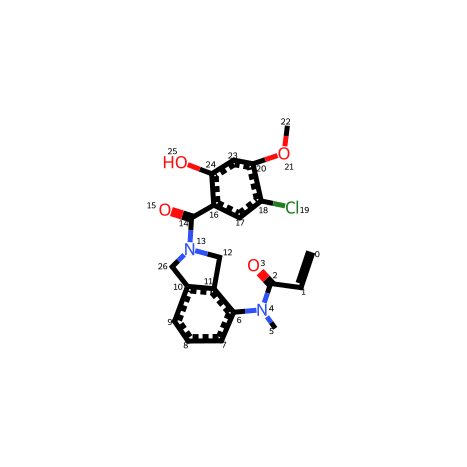 C=CC(=O)N(C)c1cccc2c1CN(C(=O)c1cc(Cl)c(OC)cc1O)C2